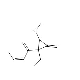 C=C(/C=C\C)C1(CC)C(=C)C1NC